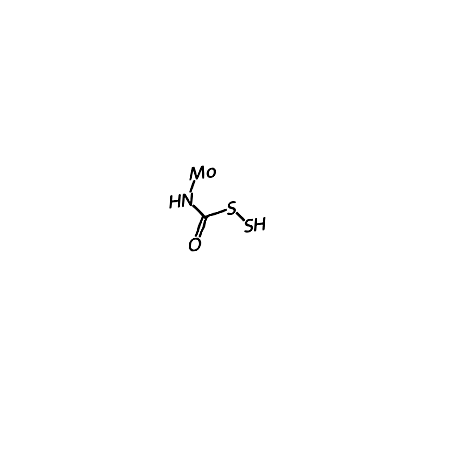 O=C([NH][Mo])SS